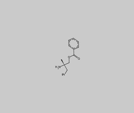 CC(C)C[C@](C)(N)COC(=O)c1ccccc1